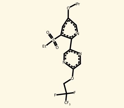 CCS(=O)(=O)c1cc(OC(C)C)cnc1-c1cnc(OCC(F)(F)C(F)(F)F)cn1